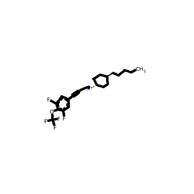 CCCCC[C@H]1CC[C@H](/C=C/C#Cc2cc(F)c(OC(F)(F)F)c(F)c2)CC1